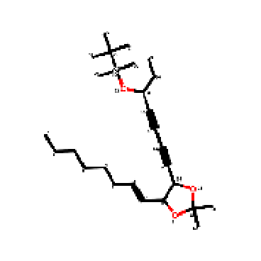 CCCCCC/C=C/C1OC(C)(C)OC1C#CC#C[C@H](CC)O[Si](C)(C)C(C)(C)C